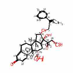 C=C(CO[C@@H]1C[C@H]2[C@@H]3CCC4=CC(=O)C=C[C@]4(C)[C@H]3[C@@H](O)C[C@]2(C)[C@@]1(O)C(=O)CO)c1ccccc1